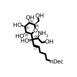 CCCCCCCCCCCCC/C=C/[C@](O)(C1O[C@H](CO)[C@@H](O)[C@H](O)[C@H]1O)[C@@H](N)CO